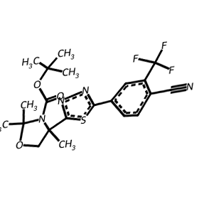 CC(C)(C)OC(=O)N1C(C)(C)OCC1(C)c1nnc(-c2ccc(C#N)c(C(F)(F)F)c2)s1